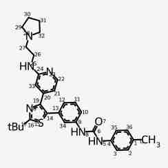 Cc1ccc(NC(=O)Nc2cccc(-c3sc(C(C)(C)C)nc3-c3ccnc(NCCN4CCCC4)c3)c2)cc1